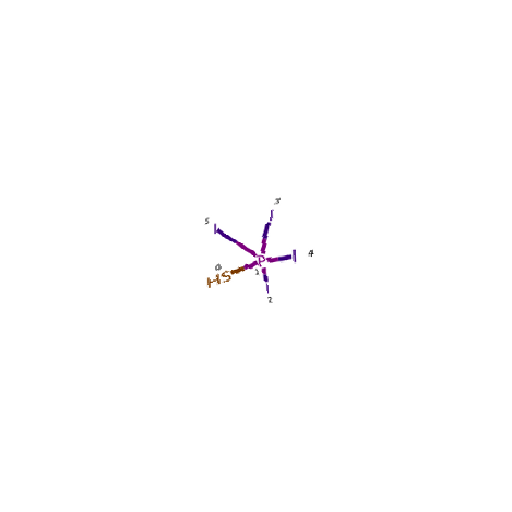 SP(I)(I)(I)I